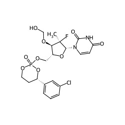 C[C@@]1(F)[C@H](OCO)[C@@H](COP2(=O)OCC[C@@H](c3cccc(Cl)c3)O2)O[C@H]1n1ccc(=O)[nH]c1=O